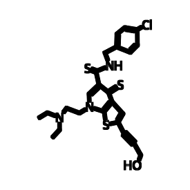 CCN(CC)CCn1cc(C(=S)NCc2ccc(Cl)cc2)c(=S)c2cc(C#CCO)sc21